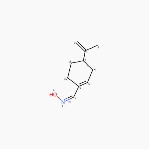 C=C(C)C1CC=C(/C=N\O)CC1